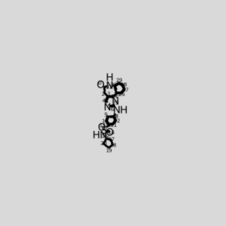 O=C1Cc2cnc(Nc3ccc(S(=O)(=O)NC4CCCC4)cc3)nc2-c2ccccc2N1